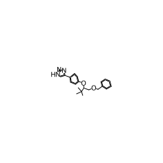 CC(C)(C)C(COCc1ccccc1)Oc1ccc(-c2c[nH]nn2)cc1